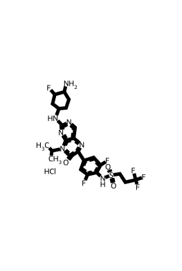 CC(C)n1c(=O)c(-c2cc(F)c(NS(=O)(=O)CCC(F)(F)F)c(F)c2)nc2cnc(NC3CCC(N)C(F)C3)nc21.Cl